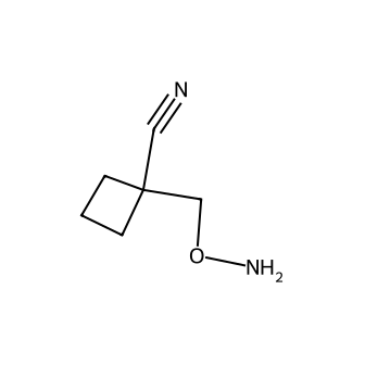 N#CC1(CON)CCC1